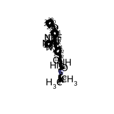 CN(C)C/C=C/C(=O)NNC(=O)C=C1CCC(n2nc(-c3ccc(Oc4ccccc4)cc3F)c3c(N)ncnc32)CC1